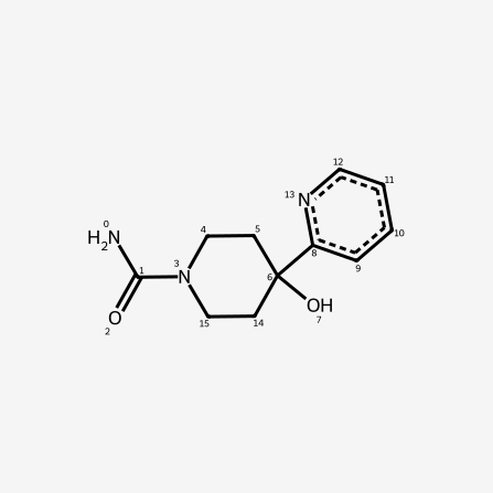 NC(=O)N1CCC(O)(c2ccccn2)CC1